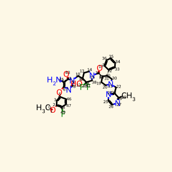 COc1cc(Oc2ncn(C[C@@]3(O)CCN(C(=O)[C@@H]4CCN(Cc5nccnc5C)C[C@H]4c4ccccc4)CC3(F)F)c(=O)c2N)ccc1F